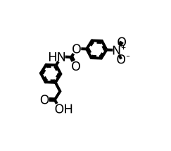 O=C(O)Cc1cccc(NC(=O)Oc2ccc([N+](=O)[O-])cc2)c1